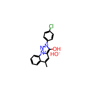 Cc1cc2c(O)n(-c3ccc(Cl)cc3)n[n+]2c2ccccc12.[OH-]